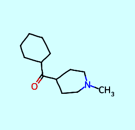 CN1CCC(C(=O)C2CCCCC2)CC1